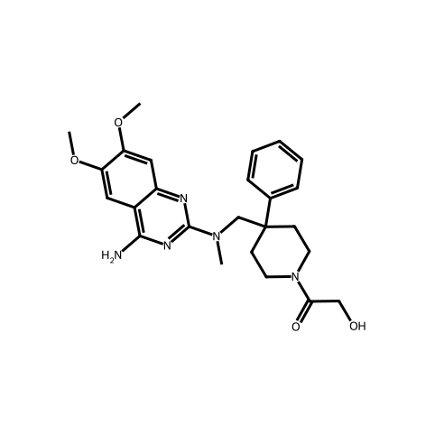 COc1cc2nc(N(C)CC3(c4ccccc4)CCN(C(=O)CO)CC3)nc(N)c2cc1OC